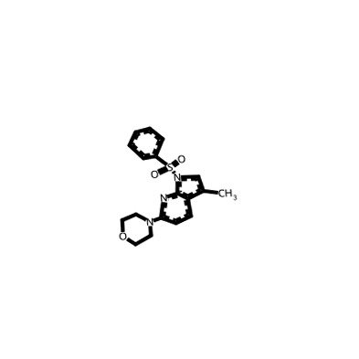 Cc1cn(S(=O)(=O)c2ccccc2)c2nc(N3CCOCC3)ccc12